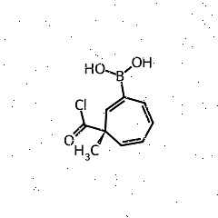 C[C@]1(C(=O)Cl)C=CC=CC(B(O)O)=C1